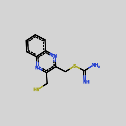 N=C(N)SCc1nc2ccccc2nc1CS